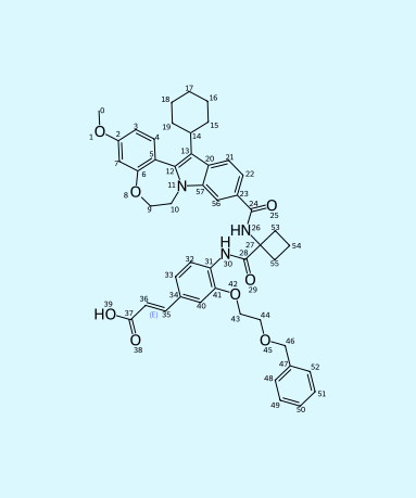 COc1ccc2c(c1)OCCn1c-2c(C2CCCCC2)c2ccc(C(=O)NC3(C(=O)Nc4ccc(/C=C/C(=O)O)cc4OCCOCc4ccccc4)CCC3)cc21